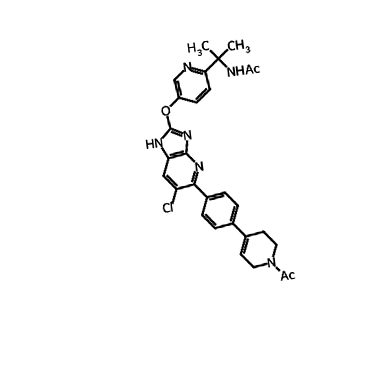 CC(=O)NC(C)(C)c1ccc(Oc2nc3nc(-c4ccc(C5=CCN(C(C)=O)CC5)cc4)c(Cl)cc3[nH]2)cn1